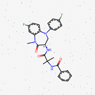 CN1C(=O)[C@H](NC(=O)C(C)(C)NC(=O)c2ccccc2)CN(c2ccc(F)cc2)c2ccc(F)cc21